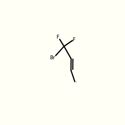 [CH2]C=CC(F)(F)Br